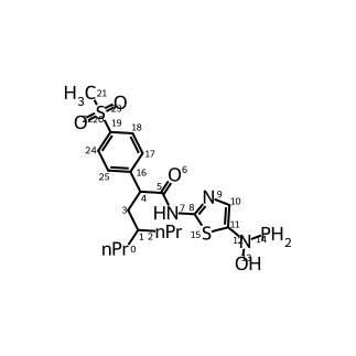 CCCC(CCC)CC(C(=O)Nc1ncc(N(O)P)s1)c1ccc(S(C)(=O)=O)cc1